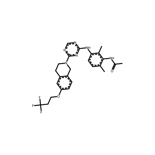 CC(=O)Nc1c(C)ccc(Nc2ncnc(N3CCc4cc(OCCC(F)(F)F)ccc4C3)n2)c1C